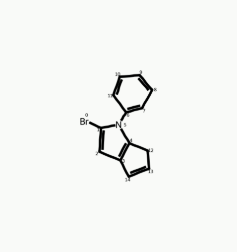 Brc1cc2c(n1-c1ccccc1)CC=C2